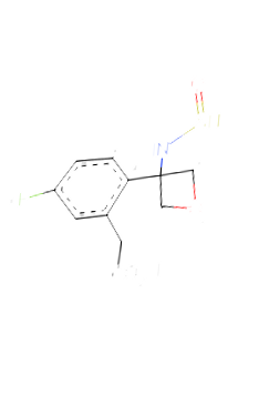 O=[SH]NC1(c2ccc(F)cc2CC(=O)O)COC1